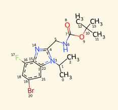 CC(C)n1c(CNC(=O)OC(C)(C)C)nc2c(F)cc(Br)cc21